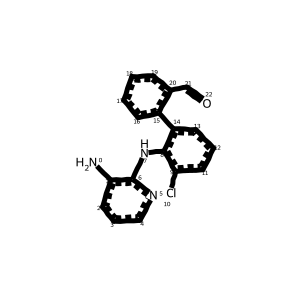 Nc1cccnc1Nc1c(Cl)cccc1-c1ccccc1C=O